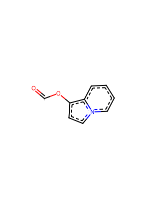 O=[C]Oc1ccn2ccccc12